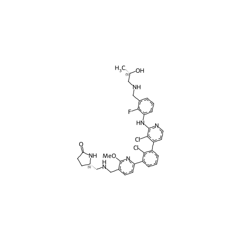 COc1nc(-c2cccc(-c3ccnc(Nc4cccc(CNC[C@H](C)O)c4F)c3Cl)c2Cl)ccc1CNC[C@@H]1CCC(=O)N1